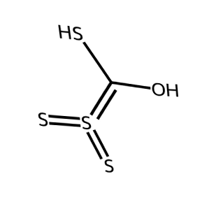 OC(S)=S(=S)=S